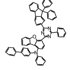 c1ccc(-c2ccc(N(c3ccccc3)c3ccc(-c4nc(-c5ccccc5)nc(-c5ccc6c(c5)C(c5ccccc5)(c5ccccc5)c5ccccc5-6)n4)c4oc5ccccc5c34)cc2)cc1